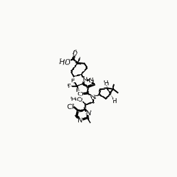 Cc1ncc(Cl)c(C(O)CN(C(=O)c2cnn(C3CCC(C)(C(=O)O)CC3)c2C(F)(F)F)[C@H]2C[C@@H]3[C@H](C2)C3(C)C)n1